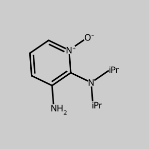 CC(C)N(c1c(N)ccc[n+]1[O-])C(C)C